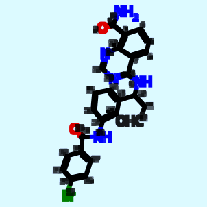 NC(=O)c1cccc2c(NC(CC=O)c3cccc(NC(=O)c4ccc(Br)cc4)c3)ncnc12